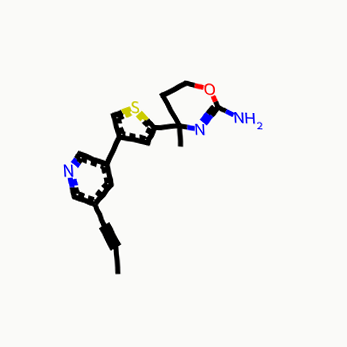 CC#Cc1cncc(-c2csc(C3(C)CCOC(N)=N3)c2)c1